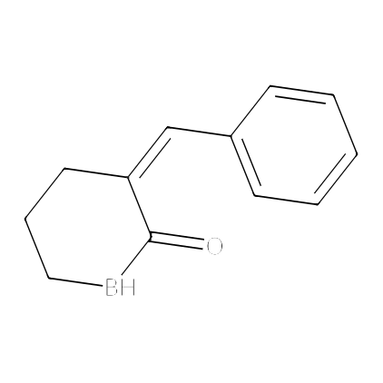 O=C1BCCCC1=Cc1ccccc1